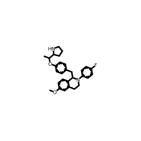 COc1ccc2c(c1)CCN(c1ccc(F)cc1)C2Cc1ccc(OC(C)C2CCCN2)cc1